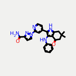 CC1(C)CC(=O)c2c([nH]c(-c3ccnc(-n4ccc(C(N)=O)n4)c3)c2Nc2ccccc2)C1